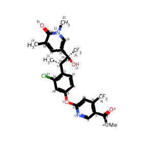 COC(=O)c1cnc(Oc2ccc([C@H](C)[C@](O)(c3cc(C)c(=O)n(C)c3)C(F)(F)F)c(Cl)c2)cc1C(F)(F)F